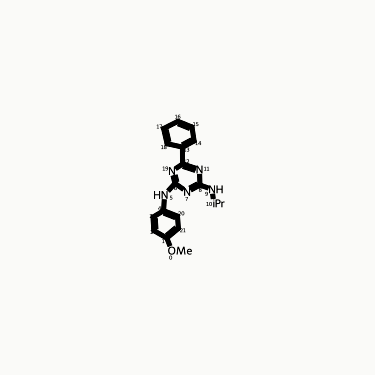 COc1ccc(Nc2nc(NC(C)C)nc(-c3ccccc3)n2)cc1